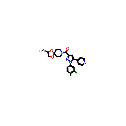 CCCC1COC2(CCN(C(=O)c3cc(-c4ccncc4)n(-c4ccc(F)c(F)c4)n3)CC2)O1